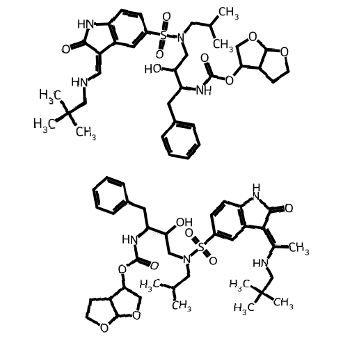 CC(C)CN(CC(O)C(Cc1ccccc1)NC(=O)OC1COC2OCCC12)S(=O)(=O)c1ccc2c(c1)C(=CNCC(C)(C)C)C(=O)N2.CC(NCC(C)(C)C)=C1C(=O)Nc2ccc(S(=O)(=O)N(CC(C)C)CC(O)C(Cc3ccccc3)NC(=O)OC3COC4OCCC34)cc21